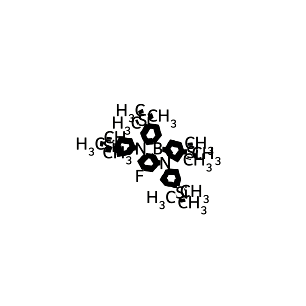 C[Si](C)(C)c1ccc(N2c3cc([Si](C)(C)C)ccc3B3c4ccc([Si](C)(C)C)cc4N(c4ccc([Si](C)(C)C)cc4)c4cc(F)cc2c43)cc1